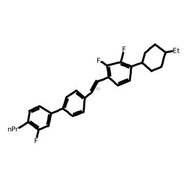 CCCc1ccc(-c2ccc(/C=C/c3ccc(C4CCC(CC)CC4)c(F)c3F)cc2)cc1F